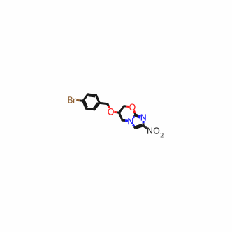 O=[N+]([O-])c1cn2c(n1)OCC(OCc1ccc(Br)cc1)C2